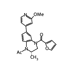 COc1cc(-c2ccc3c(c2)N(C(=O)c2ccco2)C[C@H](C)N3C(C)=O)ccn1